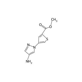 COC(=O)c1cc(-n2cc(N)cn2)cs1